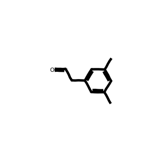 Cc1cc(C)cc(C[C]=O)c1